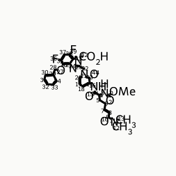 COC(=O)NC(CC/C=C/C(=O)N(C)C)C(=O)Nc1cccn(Cc2nc3c(OCc4ccccc4)c(F)cc(F)c3n2C(=O)O)c1=O